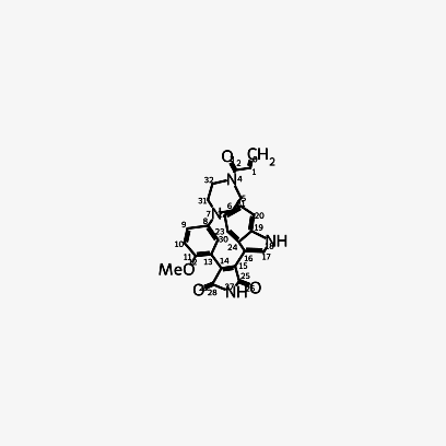 C=CC(=O)N1CCN(c2ccc(OC)c(C3=C(c4c[nH]c5ccccc45)C(=O)NC3=O)c2)CC1